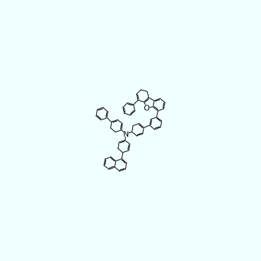 C1=CC(N(C2=CCC(c3cccc4ccccc34)C=C2)C2=CC=C(c3ccccc3)CC2)CC=C1c1cccc(-c2cccc3c4c(oc23)C(c2ccccc2)=CCC4)c1